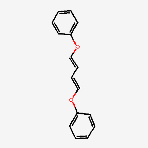 C(C=COc1ccccc1)=COc1ccccc1